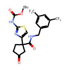 CC(C)(C)OC(=O)Nc1nc(C2(C(=O)NCc3cc(C(F)(F)F)cc(C(F)(F)F)c3)CCC(=O)C2)cs1